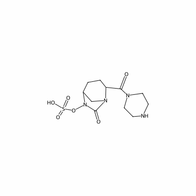 O=C(C1CCC2CN1C(=O)N2OS(=O)(=O)O)N1CCNCC1